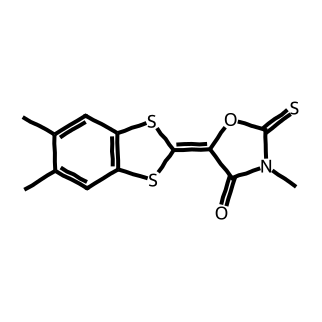 Cc1cc2c(cc1C)SC(=C1OC(=S)N(C)C1=O)S2